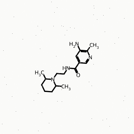 Cc1ncc(C(=O)NCCN2C(C)CCCC2C)cc1N